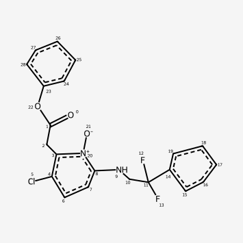 O=C(Cc1c(Cl)ccc(NCC(F)(F)c2ccccc2)[n+]1[O-])Oc1ccccc1